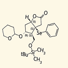 CC(C)(C)[Si](C)(C)OC[C@H]1[C@H](OC2CCCCO2)C[C@@H]2OC(=O)C[C@@]21[Se]c1ccccc1